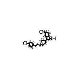 Clc1ccc(/C=C/CN2CCC(C3CNc4ccc(Cl)cc43)CC2)cc1